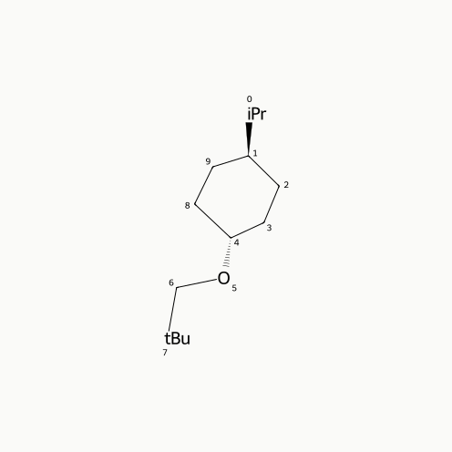 CC(C)[C@H]1CC[C@H](OCC(C)(C)C)CC1